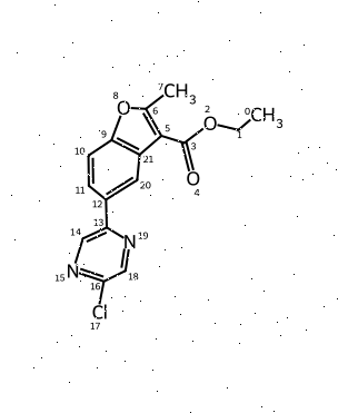 CCOC(=O)c1c(C)oc2ccc(-c3cnc(Cl)cn3)cc12